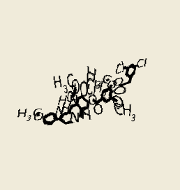 COC(=O)[C@H]1[C@H]2C[C@@H]3c4[nH]c5cc(OC)ccc5c4CCN3C[C@H]2C[C@@H](OC(=O)c2cc(OC)c(OC(=O)Cc3cc(Cl)cc(Cl)c3)c(OC)c2)[C@@H]1OC